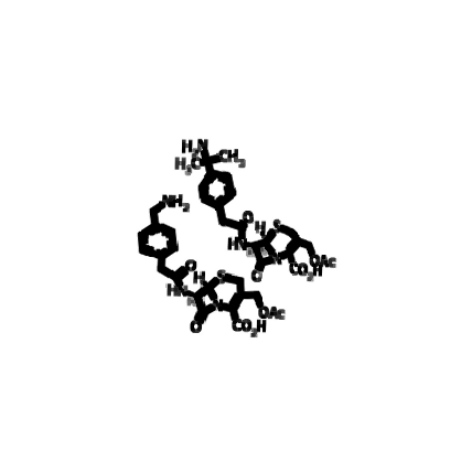 CC(=O)OCC1=C(C(=O)O)N2C(=O)[C@@H](NC(=O)Cc3ccc(C(C)(C)N)cc3)[C@H]2SC1.CC(=O)OCC1=C(C(=O)O)N2C(=O)[C@@H](NC(=O)Cc3ccc(CN)cc3)[C@H]2SC1